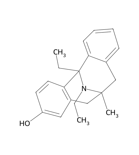 CCN1C2(C)Cc3ccccc3C1(CC)c1ccc(O)cc1C2